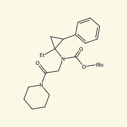 CCC1(N(CC(=O)N2CCCCC2)C(=O)OC(C)(C)C)CC1c1ccccc1